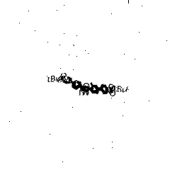 Cc1cc(C2=CCN(C(=O)OC(C)(C)C)CC2)ccc1-c1nnc(-c2ccc(C3=CCN(C(=O)OC(C)(C)C)CC3)cc2)o1